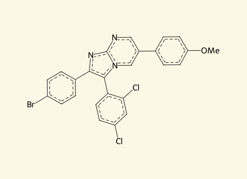 COc1ccc(-c2cnc3nc(-c4ccc(Br)cc4)c(-c4ccc(Cl)cc4Cl)n3c2)cc1